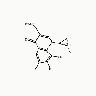 CCOC(=O)c1cn(C2C[C@@H]2F)c2c(C#N)c(F)c(F)cc2c1=O